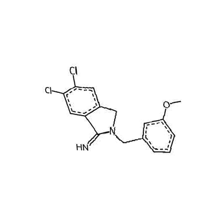 COc1cccc(CN2Cc3cc(Cl)c(Cl)cc3C2=N)c1